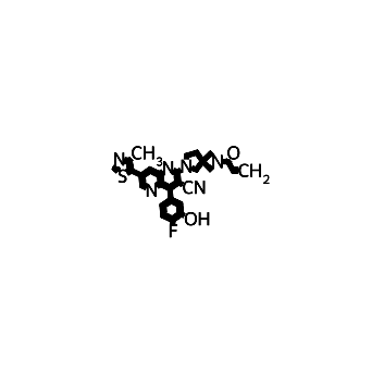 C=CC(=O)N1CC2(CCN(c3nc4cc(-c5scnc5C)cnc4c(-c4ccc(F)c(O)c4)c3C#N)C2)C1